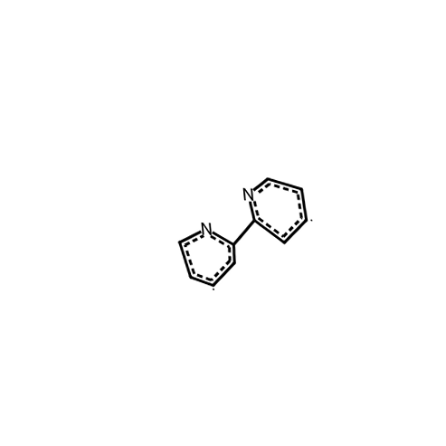 [c]1ccnc(-c2c[c]ccn2)c1